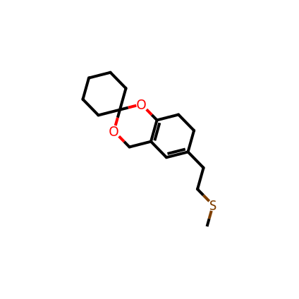 CSCCC1=CC2=C(CC1)OC1(CCCCC1)OC2